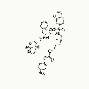 CC(C)(CCCOC(=O)Oc1ccc([N+](=O)[O-])cc1)CN(C[C@H](O)[C@H](Cc1ccccc1)NC(=O)O[C@H]1CO[C@H]2OCC[C@H]21)S(=O)(=O)c1ccc2c(c1)OCO2